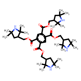 CC1(C)CC(COC(=O)c2cc(C(=O)OCC3CC(C)(C)NC3(C)C)c(C(=O)OCC3CC(C)(C)NC3(C)C)cc2C(=O)OCC2CC(C)(C)NC2(C)C)C(C)(C)N1